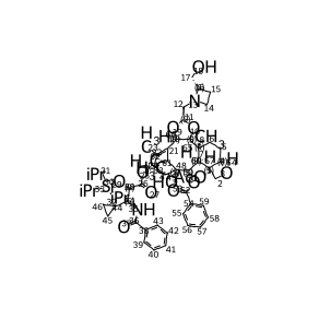 CC(=O)O[C@@]12CO[C@@H]1CC[C@@]1(C)[C@@H]3O[C@H](CN4CC[C@H]4CO)O[C@@H]3C3=C(C)[C@@H](OC(=O)[C@H](O[Si](C(C)C)(C(C)C)C(C)C)[C@@H](NC(=O)c4ccccc4)C4CC4)C[C@@](O)([C@@H](OC(=O)c4ccccc4)[C@@H]12)C3(C)C